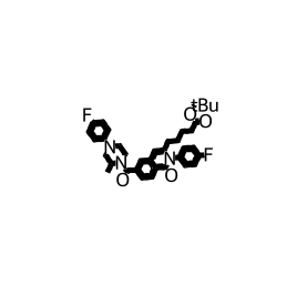 CC1CN(c2ccc(F)cc2)CCN1C(=O)c1ccc2c(=O)n(-c3ccc(F)cc3)c(CCCCC(=O)OC(C)(C)C)cc2c1